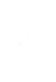 COCCN1C[S+]([O-])c2ccc(C3=NNC(=O)CC3C)cc21